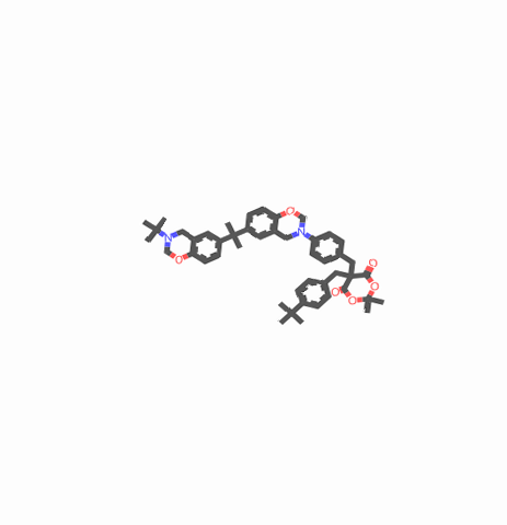 CC1(C)OC(=O)C(Cc2ccc(N3COc4ccc(C(C)(C)c5ccc6c(c5)CN(C(C)(C)C)CO6)cc4C3)cc2)(Cc2ccc(C(C)(C)C)cc2)C(=O)O1